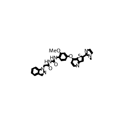 COc1cc(Oc2ccnc3cc(-c4nccn4C)sc23)ccc1NC(=O)NC(=O)Cn1ncc2ccccc21